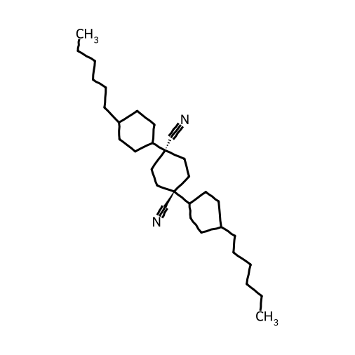 CCCCCCC1CCC([C@]2(C#N)CC[C@@](C#N)(C3CCC(CCCCCC)CC3)CC2)CC1